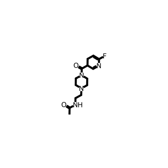 CC(=O)NCCN1CCN(C(=O)C2C=NC(F)=CC2)CC1